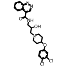 O=C(NC[C@@H](O)CN1CCC(Oc2ccc(Cl)c(Cl)c2)CC1)c1cnnc2ccccc12